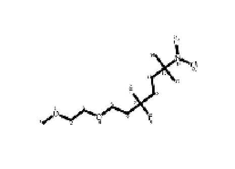 COCCOCCC(F)(F)CCC(C)(C)N(Cl)Cl